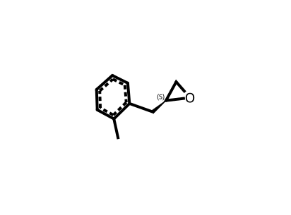 Cc1ccccc1C[C@H]1CO1